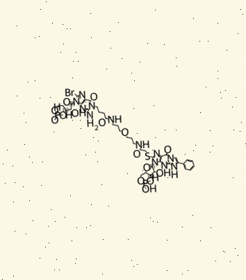 Nc1nc2c(nc(Br)n2[C@@H]2OC3CO[PH](=O)O[C@H]3C2O)c(=O)n1CCCC(=O)NCCCOCCCNC(=O)CSc1nc2c(=O)n3cc(-c4ccccc4)[nH]c3nc2n1[C@@H]1OC2COP(O)O[C@H]2C1O